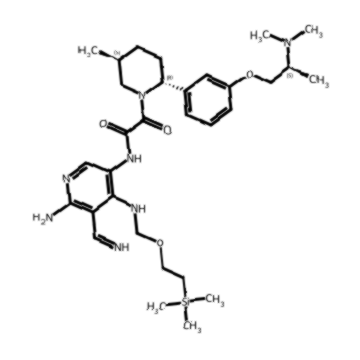 C[C@H]1CC[C@H](c2cccc(OC[C@H](C)N(C)C)c2)N(C(=O)C(=O)Nc2cnc(N)c(C=N)c2NCOCC[Si](C)(C)C)C1